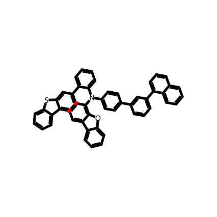 c1cc(-c2ccc(N(c3ccccc3-c3ccc4c(c3)sc3ccccc34)c3cccc4c3oc3ccccc34)cc2)cc(-c2cccc3ccccc23)c1